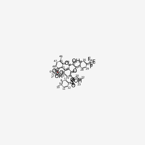 CC(C)=CCc1c(-c2cc(C)ccc2S(=O)(=O)O)c(CC=C(C)C)c2oc(-c3ccc(C(F)(F)F)cc3)c(O)c(=O)c2c1-c1cc(C)ccc1S(=O)(=O)O